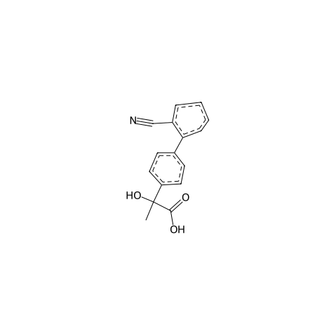 CC(O)(C(=O)O)c1ccc(-c2ccccc2C#N)cc1